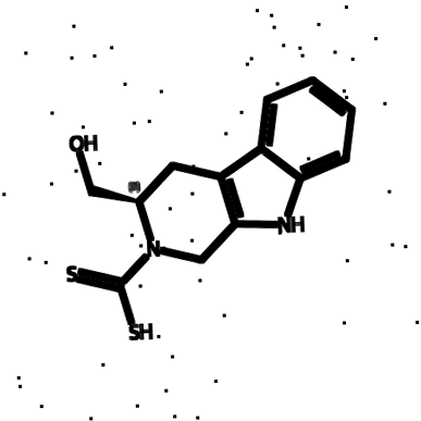 OC[C@H]1Cc2c([nH]c3ccccc23)CN1C(=S)S